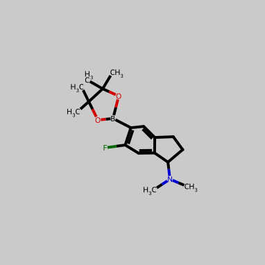 CN(C)C1CCc2cc(B3OC(C)(C)C(C)(C)O3)c(F)cc21